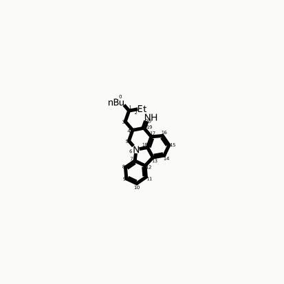 CCCCC(CC)CC1Cn2c3ccccc3c3cccc(c32)C1=N